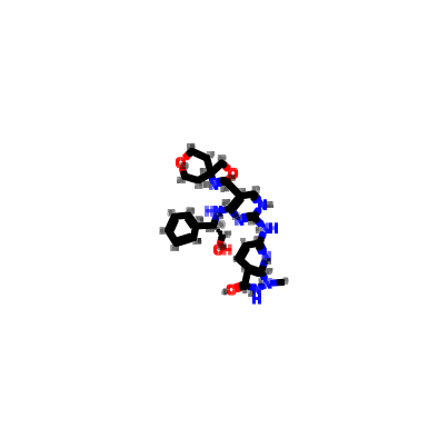 Cn1[nH]c(=O)c2ccc(Nc3ncc(C4=NC5(CCOCC5)CO4)c(N[C@H](CO)c4ccccc4)n3)nc21